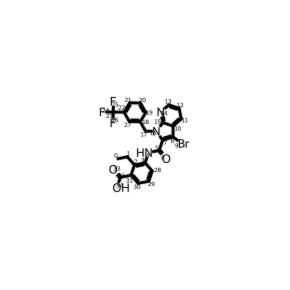 CCc1c(NC(=O)c2c(Br)c3cccnc3n2Cc2cccc(C(F)(F)F)c2)cccc1C(=O)O